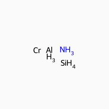 N.[AlH3].[Cr].[SiH4]